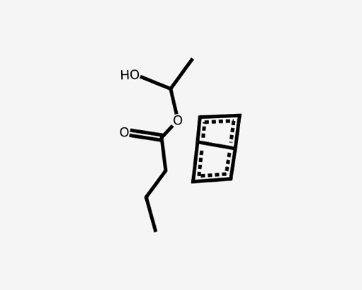 CCCC(=O)OC(C)O.c1cc2ccc1-2